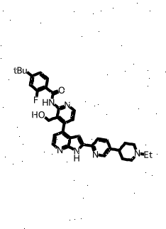 CCN1CCC(c2ccc(-c3cc4c(-c5ccnc(NC(=O)c6ccc(C(C)(C)C)cc6F)c5CO)ccnc4[nH]3)nc2)CC1